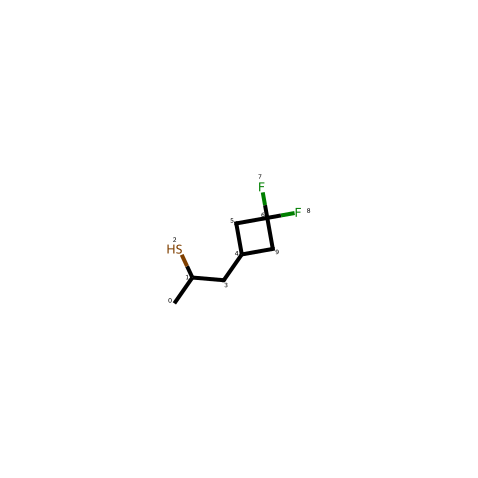 CC(S)CC1CC(F)(F)C1